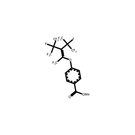 COC(=O)c1ccc(OC(=C(C(F)(C(F)(F)F)C(F)(F)F)C(F)(C(F)(F)F)C(F)(F)F)C(F)(F)F)cc1